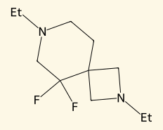 CCN1CCC2(CN(CC)C2)C(F)(F)C1